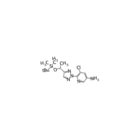 CC(O[Si](C)(C)C(C)(C)C)c1cnn(-c2ncc(N)cc2Cl)n1